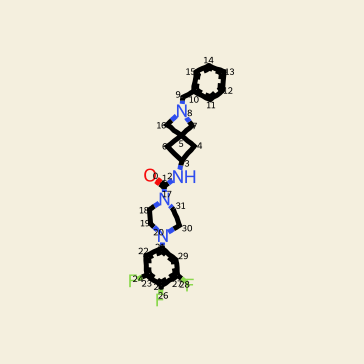 O=C(NC1CC2(C1)CN(Cc1ccccc1)C2)N1CCN(c2cc(F)c(F)c(F)c2)CC1